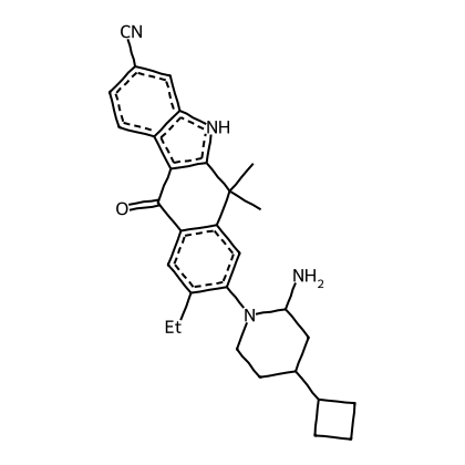 CCc1cc2c(cc1N1CCC(C3CCC3)CC1N)C(C)(C)c1[nH]c3cc(C#N)ccc3c1C2=O